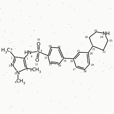 Cc1nn(C)c(C)c1NS(=O)(=O)c1ccc(-c2cccc(C3CCNCC3)c2)cc1